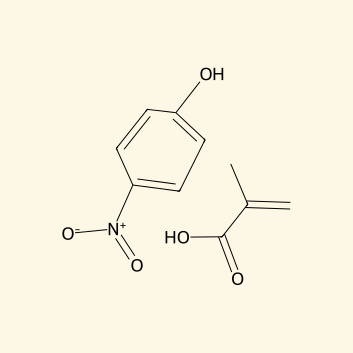 C=C(C)C(=O)O.O=[N+]([O-])c1ccc(O)cc1